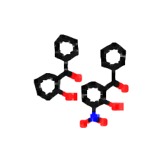 O=C(c1ccccc1)c1cccc([N+](=O)[O-])c1O.O=C(c1ccccc1)c1ccccc1O